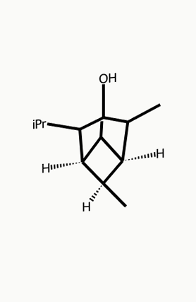 CC(C)C1C(O)C(C)[C@@H]2C(C)[C@H]1[C@@H]2C